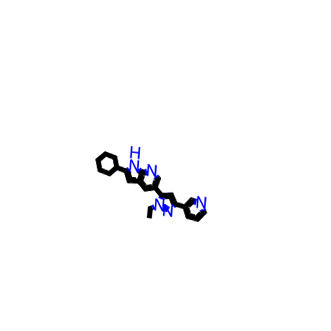 CCn1nc(-c2cccnc2)cc1-c1cnc2[nH]c(C3CCCCC3)cc2c1